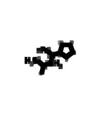 CCCN([SiH2]C(C)[SiH3])C1CCCC1